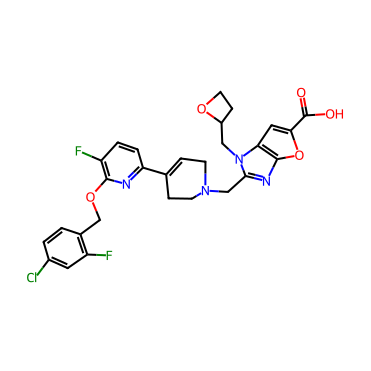 O=C(O)c1cc2c(nc(CN3CC=C(c4ccc(F)c(OCc5ccc(Cl)cc5F)n4)CC3)n2CC2CCO2)o1